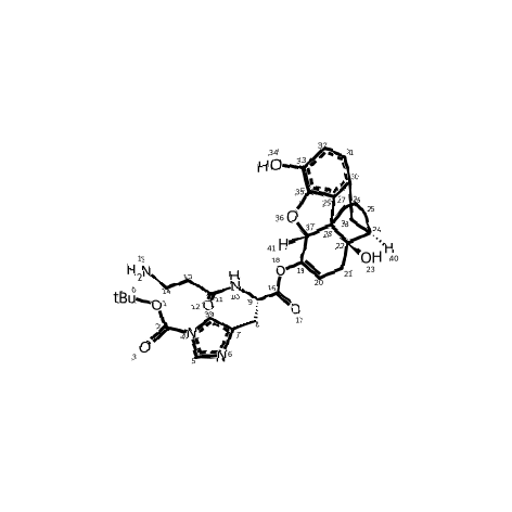 CC(C)(C)OC(=O)n1cnc(C[C@H](NC(=O)CCN)C(=O)OC2=CC[C@@]3(O)[C@@H]4CCCC35c3c(ccc(O)c3O[C@@H]25)C4)c1